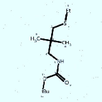 CCSCC(C)(C)CNC(=O)OC(C)(C)C